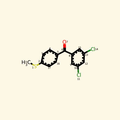 CSc1ccc(C(=O)c2cc(Cl)cc(Cl)c2)cc1